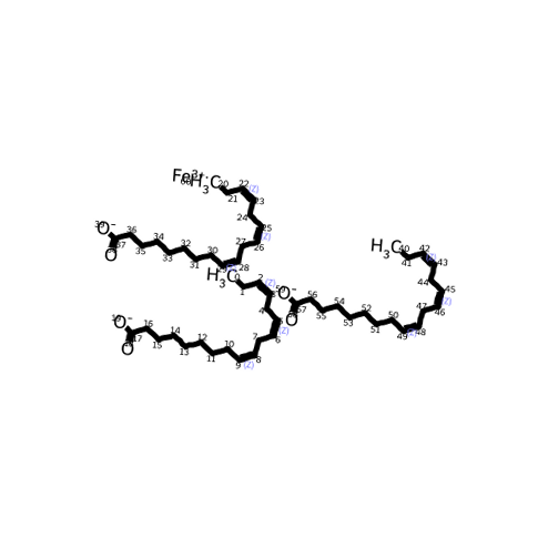 CC/C=C\C/C=C\C/C=C\CCCCCCCC(=O)[O-].CC/C=C\C/C=C\C/C=C\CCCCCCCC(=O)[O-].CC/C=C\C/C=C\C/C=C\CCCCCCCC(=O)[O-].[Fe+3]